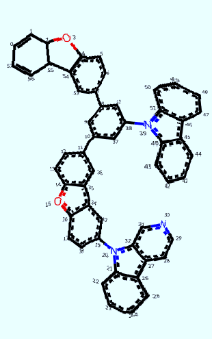 C1=CC2Oc3ccc(-c4cc(-c5ccc6oc7ccc(-n8c9ccccc9c9ccncc98)cc7c6c5)cc(-n5c6ccccc6c6ccccc65)c4)cc3C2C=C1